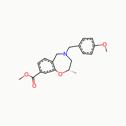 COC(=O)c1ccc2c(c1)O[C@@H](C)CN(Cc1ccc(OC)cc1)C2